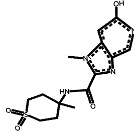 Cn1c(C(=O)NC2(C)CCS(=O)(=O)CC2)nc2cnc(O)cc21